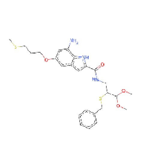 COC(OC)C(CNC(=O)c1cc2cc(OCCCSC)cc(N)c2[nH]1)SCc1ccccc1